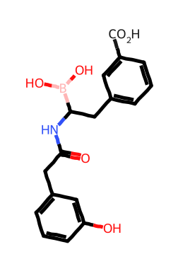 O=C(Cc1cccc(O)c1)NC(Cc1cccc(C(=O)O)c1)B(O)O